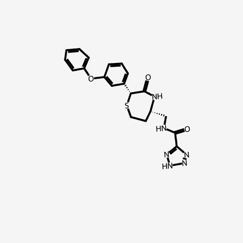 O=C(NC[C@@H]1CCS[C@H](c2cccc(Oc3ccccc3)c2)C(=O)N1)c1nn[nH]n1